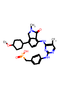 CCOC1CCC(c2ccc(Nc3nc(Nc4ccc(C[PH](=O)O)cc4)ncc3C(F)(F)F)c3c2CN(C)C3=O)CC1